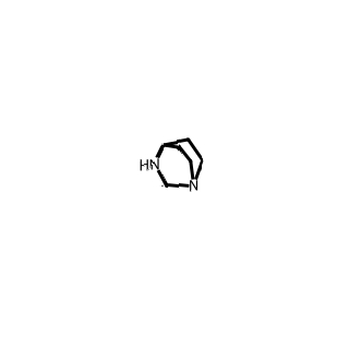 [CH]1NC2CCN1CC2